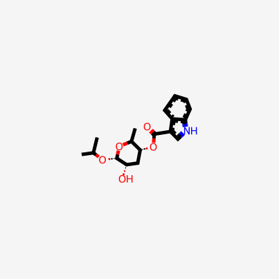 CC(C)O[C@@H]1OC(C)[C@H](OC(=O)c2c[nH]c3ccccc23)C[C@@H]1O